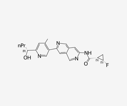 CCC[C@@H](O)c1cc(C)c(-c2cc3cnc(NC(=O)[C@@H]4C[C@@H]4F)cc3cn2)cn1